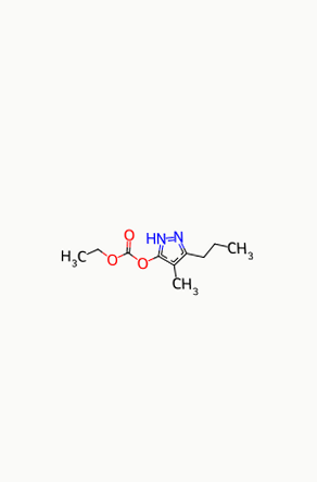 CCCc1n[nH]c(OC(=O)OCC)c1C